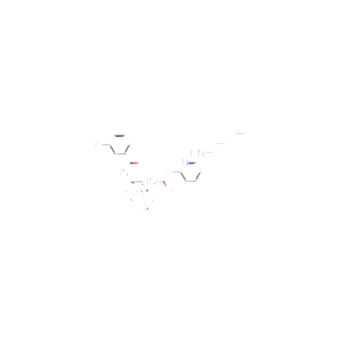 COCCCNc1cccc(OC(=O)NC23CC4CC(C2)CC(NC(=O)c2cccc(F)c2)(C4)C3)n1